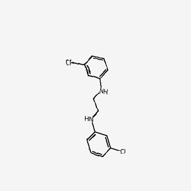 Clc1cccc(NCCNc2cccc(Cl)c2)c1